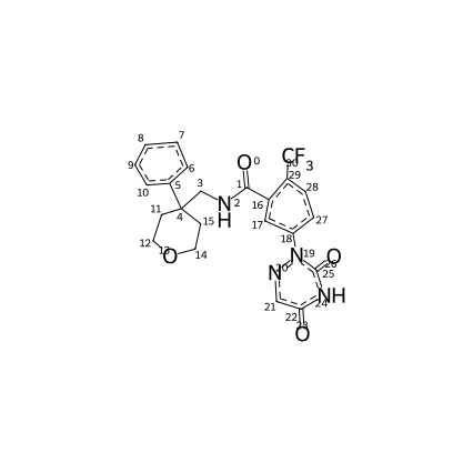 O=C(NCC1(c2ccccc2)CCOCC1)c1cc(-n2ncc(=O)[nH]c2=O)ccc1C(F)(F)F